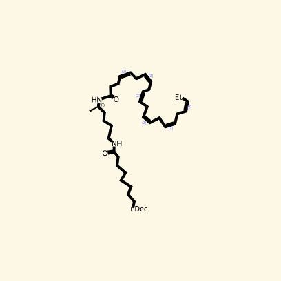 CC/C=C\C/C=C\C/C=C\C/C=C\C/C=C\C/C=C\CCC(=O)N[C@H](C)CCCCNC(=O)CCCCCCCCCCCCCCCCC